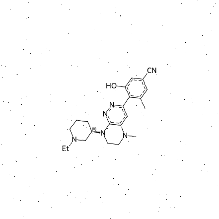 CCN1CCC[C@@H](N2CCN(C)c3cc(-c4c(C)cc(C#N)cc4O)nnc32)C1